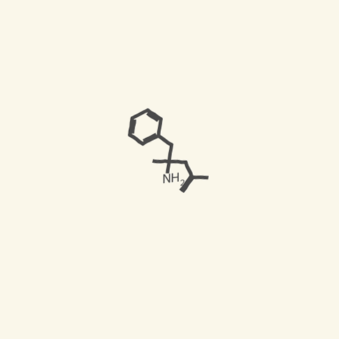 C=C(C)CC(C)(N)Cc1ccccc1